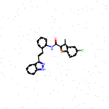 Cc1c(C(=O)Nc2ccccc2/C=C/c2n[nH]c3ccccc23)sc2ccc(Cl)cc12